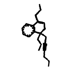 CCCC#CCC1(CCC)CC=C(CCC)c2ccccc21